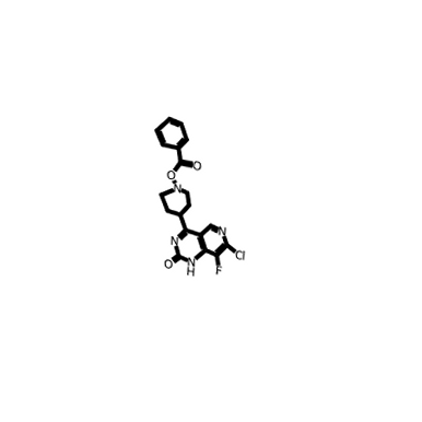 O=C(ON1CCC(c2nc(=O)[nH]c3c(F)c(Cl)ncc23)CC1)c1ccccc1